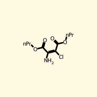 CCCOC(=O)/C(N)=C(/Cl)C(=O)OCCC